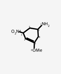 COC1=CC([N+](=O)[O-])CC(N)C1